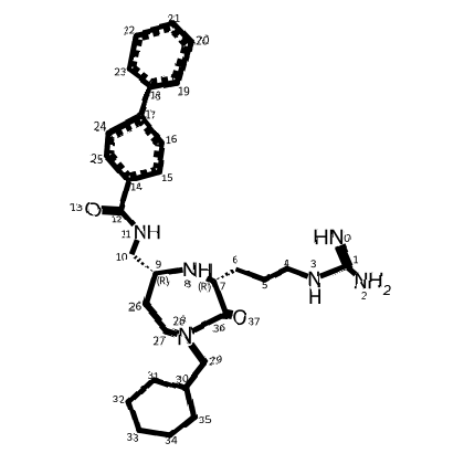 N=C(N)NCCC[C@H]1N[C@@H](CNC(=O)c2ccc(-c3ccccc3)cc2)CCN(CC2CCCCC2)C1=O